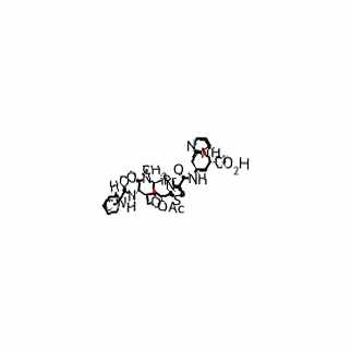 CC(=O)O[C@H](C[C@H](C(C)C)N(C)C(=O)[C@@H](NC(=O)[C@H]1CC2CCN1CC2)C1COC1)c1nc(C(=O)N[C@@H](Cc2ncccn2)C[C@H](C)C(=O)O)cs1